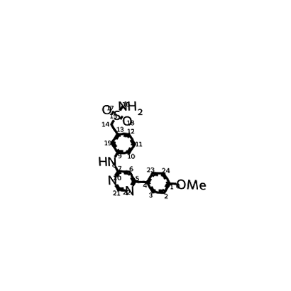 COc1ccc(-c2cc(Nc3cccc(CS(N)(=O)=O)c3)ncn2)cc1